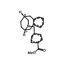 COC(=O)c1ccc(CN2C[C@@H]3CC[C@H]2Cc2ccccc2C3)cc1